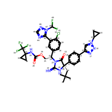 CC(C)(C)C[C@]1(c2ccc(-c3cn(C4CC4)nn3)cc2)NC(=N)N([C@H](COC(=O)NC2(C(F)(F)F)CC2)c2ccc(Cl)c(-c3ncnn3C(F)F)c2)C1=O